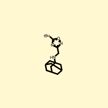 CC(C)(C)c1nc(CNC23CC4CC(CC(C4)C2)C3)no1